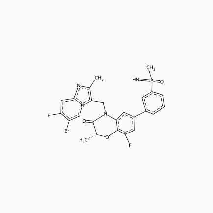 Cc1nc2cc(F)c(Br)cn2c1CN1C(=O)[C@@H](C)Oc2c(F)cc(-c3cccc(S(C)(=N)=O)c3)cc21